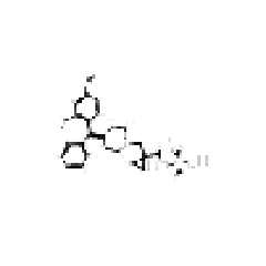 COc1ccc2c(c1)COc1ccccc1C2=C1CCN(CC2(C(=O)NS(C)(=O)=O)CC2)CC1